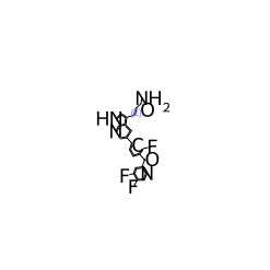 NC(=O)/C=C/c1c[nH]c2ncc(-c3ccc(C(=O)c4cc(F)c(F)cn4)c(F)c3)cc12